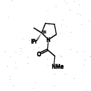 CNCC(=O)N1CCC[C@@]1(C)C(C)C